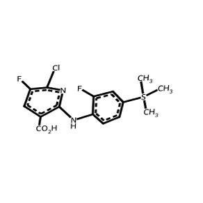 CS(C)(C)c1ccc(Nc2nc(Cl)c(F)cc2C(=O)O)c(F)c1